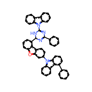 c1ccc(C2=NC(c3cccc4oc5cc(-n6c7ccccc7c7c(-c8ccccc8)cccc76)ccc5c34)NC(n3c4ccccc4c4ccccc43)=N2)cc1